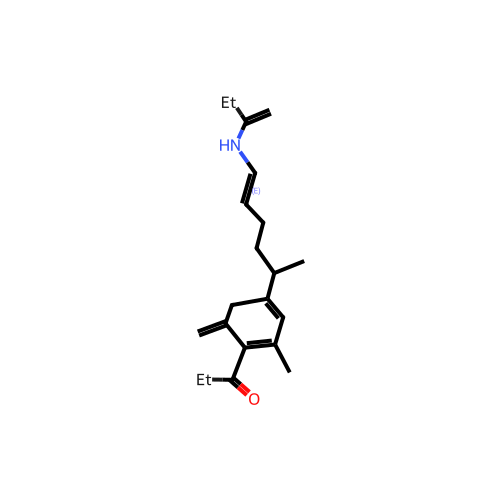 C=C(CC)N/C=C/CCC(C)C1=CC(C)=C(C(=O)CC)C(=C)C1